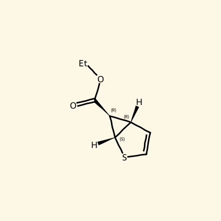 CCOC(=O)[C@H]1[C@@H]2C=CS[C@@H]21